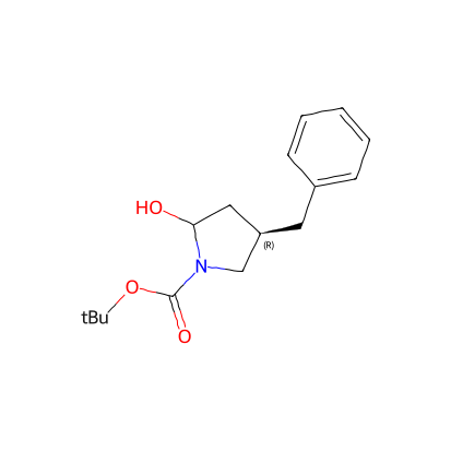 CC(C)(C)OC(=O)N1C[C@H](Cc2ccccc2)CC1O